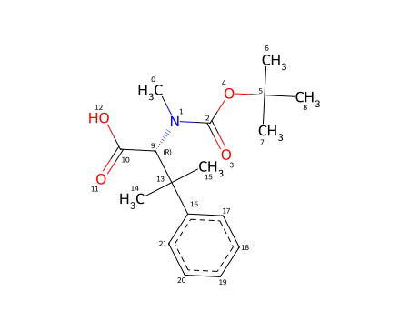 CN(C(=O)OC(C)(C)C)[C@@H](C(=O)O)C(C)(C)c1ccccc1